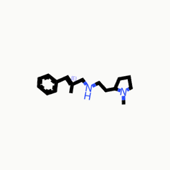 C/C(=C\c1ccccc1)CNCCC1CCCN1C